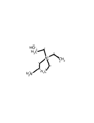 CC[N+](CC)(CC)CCN.[OH-]